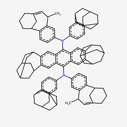 CC1C=C2CCCC(C2)c2ccc(N(c3ccc4c(c3)C3CC5CC(CC4C5)C3)c3c4cc5c(cc4c(N(c4ccc6c(c4)C(C)C=C4CCCC6C4)c4ccc6c(c4)C4CC7CC(CC6C7)C4)c4cc6c(cc34)C3CC4CC(C3)CC6C4)C3CC4CC(CC5C4)C3)cc21